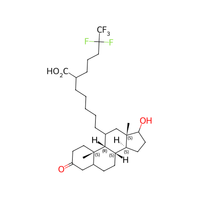 C[C@]12CCC(=O)CC1CC[C@@H]1[C@H]2C(CCCCCC(CCCC(F)(F)C(F)(F)F)C(=O)O)C[C@]2(C)C(O)CC[C@@H]12